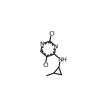 CC1CC1Nc1nc(Cl)ncc1Cl